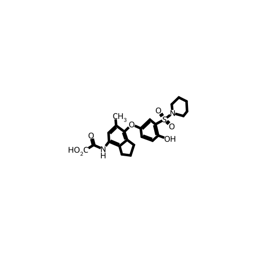 Cc1cc(NC(=O)C(=O)O)c2c(c1Oc1ccc(O)c(S(=O)(=O)N3CCCCC3)c1)CCC2